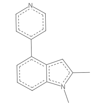 Cc1cc2c(-c3ccncc3)cccc2n1C